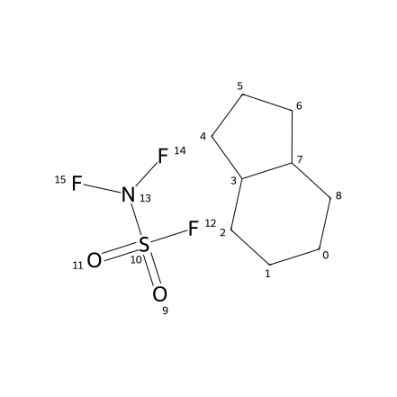 C1CCC2CCCC2C1.O=S(=O)(F)N(F)F